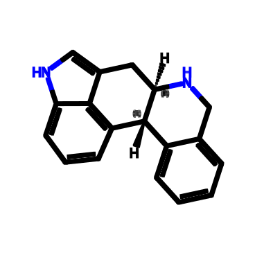 c1ccc2c(c1)CN[C@@H]1Cc3c[nH]c4cccc(c34)[C@@H]21